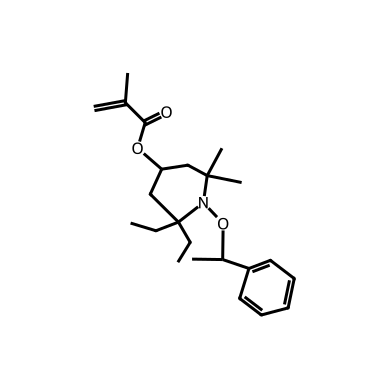 C=C(C)C(=O)OC1CC(C)(C)N(OC(C)c2ccccc2)C(CC)(CC)C1